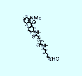 CNC1=C(C(=O)c2cccc(NC(=O)COCC(=O)NCCCCCC=O)c2)CCCC1